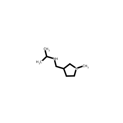 CC(C)NCC1CCN(C)C1